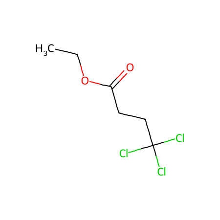 CCOC(=O)CCC(Cl)(Cl)Cl